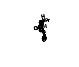 CC(C)Nc1ccn(C2C=C(Cl)c3ccc(OCCN4CCOCC4)cc3N2)n1